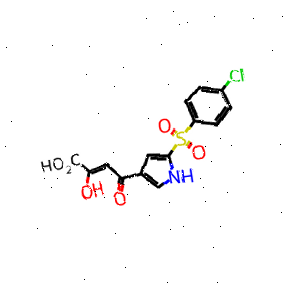 O=C(O)/C(O)=C/C(=O)c1c[nH]c(S(=O)(=O)c2ccc(Cl)cc2)c1